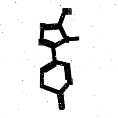 Cn1c(S)nnc1C1=CCC(=O)N=C1